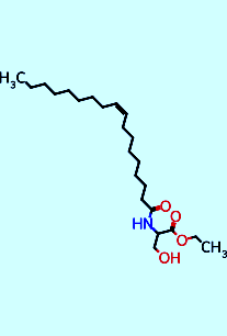 CCCCCCCC/C=C\CCCCCCCC(=O)NC(CO)C(=O)OCC